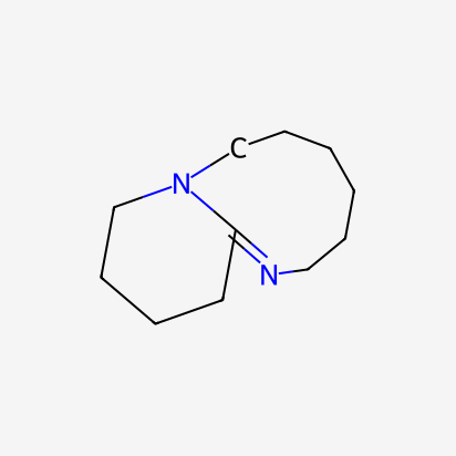 C1CCCN2CCCC/C2=N\CC1